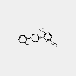 N#Cc1ccc(C(F)(F)F)nc1N1CCN(c2ccccc2F)CC1